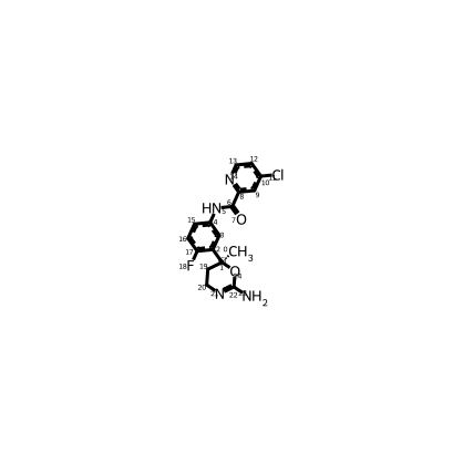 C[C@@]1(c2cc(NC(=O)c3cc(Cl)ccn3)ccc2F)CCN=C(N)O1